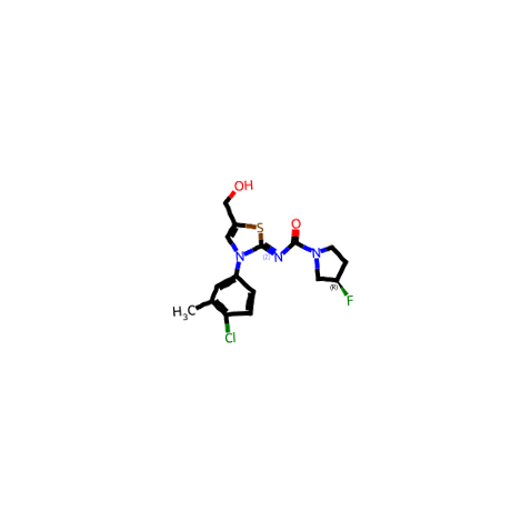 Cc1cc(-n2cc(CO)s/c2=N\C(=O)N2CC[C@@H](F)C2)ccc1Cl